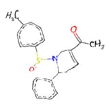 CC(=O)C1=CCC(c2ccccc2)N([S+]([O-])c2ccc(C)cc2)C1